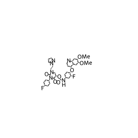 COc1cc2nccc(Oc3ccc(NC(=O)Oc4cn(CCn5cccn5)c(=O)n(-c5ccc(F)cc5)c4=O)cc3F)c2cc1OC